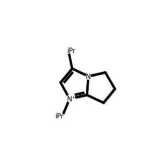 CC(C)c1c[n+](C(C)C)c2n1CCC2